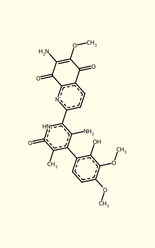 COC1=C(N)C(=O)c2nc(-c3[nH]c(=O)c(C)c(-c4ccc(OC)c(OC)c4O)c3N)ccc2C1=O